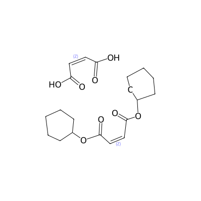 O=C(/C=C\C(=O)OC1CCCCC1)OC1CCCCC1.O=C(O)/C=C\C(=O)O